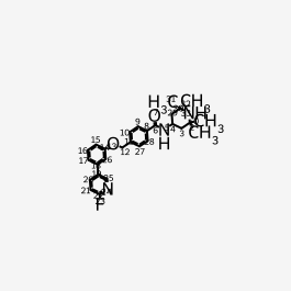 CC1(C)CC(NC(=O)c2ccc(COc3cccc(-c4ccc(F)nc4)c3)cc2)CC(C)(C)N1